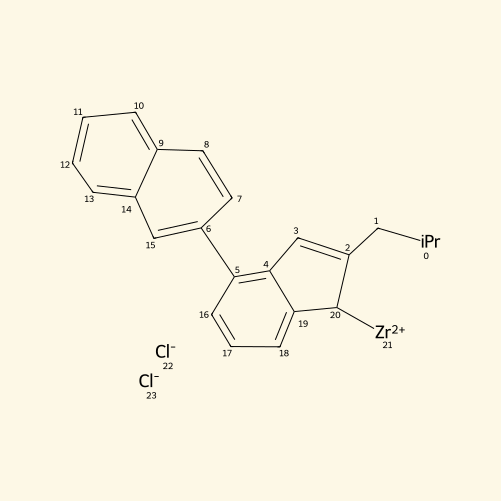 CC(C)CC1=Cc2c(-c3ccc4ccccc4c3)cccc2[CH]1[Zr+2].[Cl-].[Cl-]